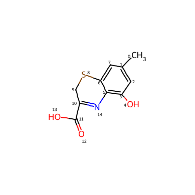 Cc1cc(O)c2c(c1)SCC(C(=O)O)=N2